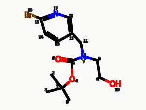 CC(C)(C)OC(=O)N(CCO)Cc1ccc(Br)nc1